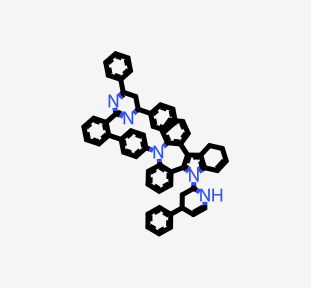 C1=Cc2c(c3c(n2C2CC(c4ccccc4)C=CN2)-c2ccccc2N(c2ccc(-c4ccccc4C4=NC(c5ccccc5)CC(c5ccccc5)=N4)cc2)c2ccccc2-3)CC1